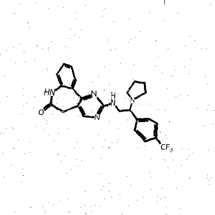 O=C1Cc2cnc(NCC(c3ccc(C(F)(F)F)cc3)N3CCCC3)nc2-c2ccccc2N1